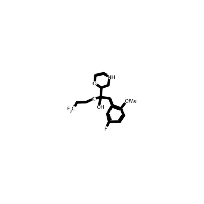 COc1ccc(F)cc1CC(O)(CCCC(F)(F)F)C1CNCCO1